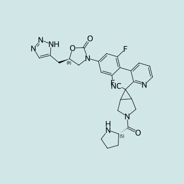 N#CC1(c2ncccc2-c2c(F)cc(N3C[C@@H](Cc4cnn[nH]4)OC3=O)cc2F)C2CN(C(=O)[C@@H]3CCCN3)CC21